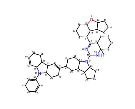 CC12CCCCC1C(C1CCCC3OC4CCCC4C31)=NC(N1C3CCCC3C3CC(C4=CC5C6CCC=CC6N(C6=CCCC=C6)C5CC4)CCC31)N2